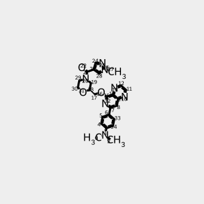 CN(C)c1ccc(-c2cc3nccnc3c(OC[C@@H]3CN(C(=O)c4cnn(C)c4)CCO3)n2)cc1